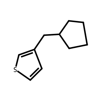 c1cc(CC2CCCC2)cs1